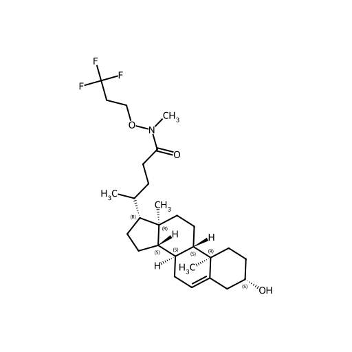 CC(CCC(=O)N(C)OCCC(F)(F)F)[C@H]1CC[C@H]2[C@@H]3CC=C4C[C@@H](O)CC[C@]4(C)[C@H]3CC[C@]12C